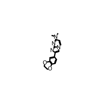 CN(C)c1ccn2cc(-c3ccc4c(c3)OCCO4)nc2n1